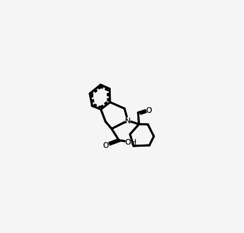 O=CC1(N2Cc3ccccc3CC2C(=O)O)CCCCC1